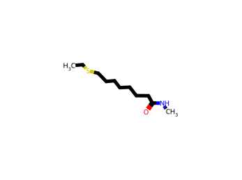 CCSCCCCCCCC(=O)NC